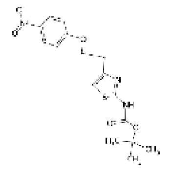 CC(C)(C)OC(=O)Nc1nc(CCOc2ccc([N+](=O)[O-])cc2)cs1